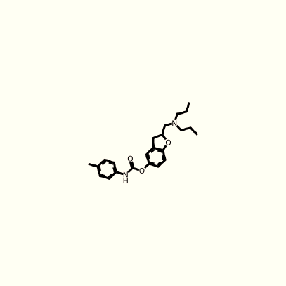 CCCN(CCC)CC1Cc2cc(OC(=O)Nc3ccc(C)cc3)ccc2O1